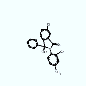 Cc1ccc(N2C(=O)c3cc(Cl)ccc3C2(O)c2ccccc2)c(Cl)c1